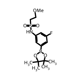 COCCS(=O)(=O)Nc1cc(F)cc(B2OC(C)(C)C(C)(C)O2)c1